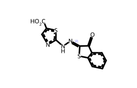 O=C(O)c1cnc(N/N=C2\Sc3ccccc3C2=O)s1